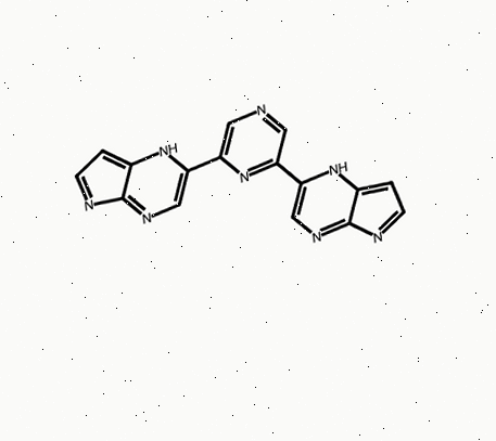 c1cc2[nH]c(-c3cncc(-c4cnc5nccc-5[nH]4)n3)cnc-2n1